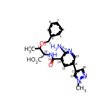 CC(OCc1ccccc1)[C@H](NC(=O)c1cc(-c2cnn(C)c2)cnc1N)C(=O)O